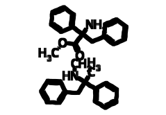 CNC(C)(Cc1ccccc1)c1ccccc1.COC(=O)C(N)(Cc1ccccc1)c1ccccc1